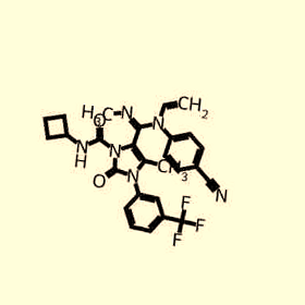 C=CN(/C(=N/C)c1c(C)n(-c2cccc(C(F)(F)F)c2)c(=O)n1C(=O)NC1CCC1)c1ccc(C#N)cc1